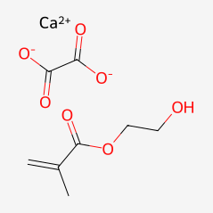 C=C(C)C(=O)OCCO.O=C([O-])C(=O)[O-].[Ca+2]